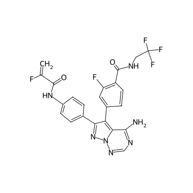 C=C(F)C(=O)Nc1ccc(-c2nn3ncnc(N)c3c2-c2ccc(C(=O)NCC(F)(F)F)c(F)c2)cc1